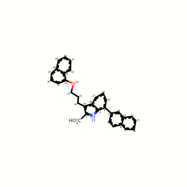 O=C(O)c1[nH]c2c(-c3ccc4ccccc4c3)cccc2c1CCCOc1cccc2ccccc12